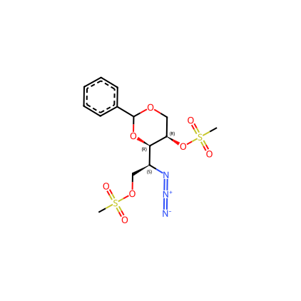 CS(=O)(=O)OC[C@H](N=[N+]=[N-])[C@H]1OC(c2ccccc2)OC[C@H]1OS(C)(=O)=O